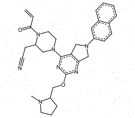 C=CC(=O)N1CCN(c2nc(OCC3CCCN3C)nc3c2CN(c2ccc4ccccc4c2)C3)CC1CC#N